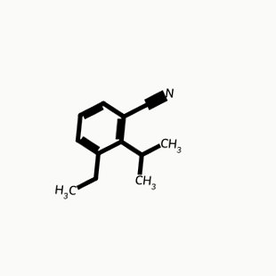 CCc1cccc(C#N)c1C(C)C